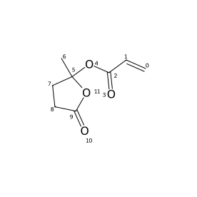 C=CC(=O)OC1(C)CCC(=O)O1